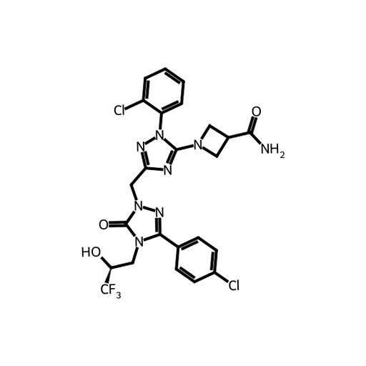 NC(=O)C1CN(c2nc(Cn3nc(-c4ccc(Cl)cc4)n(C[C@H](O)C(F)(F)F)c3=O)nn2-c2ccccc2Cl)C1